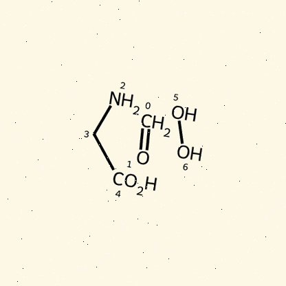 C=O.NCC(=O)O.OO